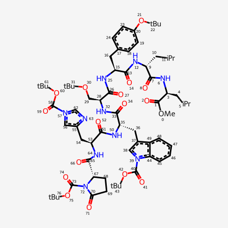 COC(=O)[C@H](CC(C)C)NC(=O)[C@@H](CC(C)C)NC(=O)[C@H](Cc1ccc(OC(C)(C)C)cc1)NC(=O)[C@H](COC(C)(C)C)NC(=O)[C@H](Cc1cn(C(=O)OC(C)(C)C)c2ccccc12)NC(=O)[C@H](Cc1cn(C(=O)OC(C)(C)C)cn1)NC(=O)[C@@H]1CCC(=O)N1C(=O)OC(C)(C)C